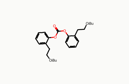 CC(C)COCCc1ccccc1OC(=O)Oc1ccccc1CCOCC(C)C